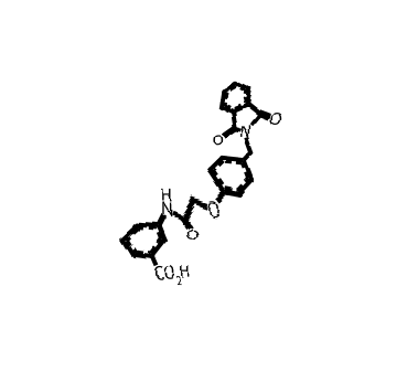 O=C(COc1ccc(CN2C(=O)c3ccccc3C2=O)cc1)Nc1cccc(C(=O)O)c1